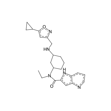 CCN(C(=O)c1cc2ncccc2[nH]1)C1CCCC(NCc2cc(C3CC3)on2)C1